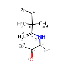 C=C(NC(CC)C(=O)CC)C(C)(C)CC(C)C